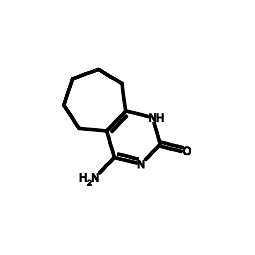 Nc1nc(=O)[nH]c2c1CCCCC2